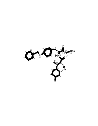 CC(C)C[C@@H](C(=O)N[C@@H](Cc1ccc(OCc2ccccc2)cc1)C(=O)NC(C)(C)C)N(C)C1CCC(C)CC1